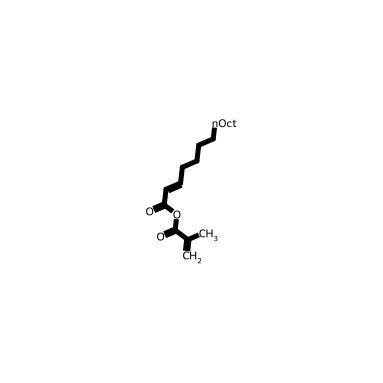 C=C(C)C(=O)OC(=O)C=CCCCCCCCCCCCC